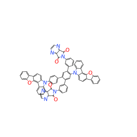 O=C1c2nccnc2C(=O)N1c1cccc(-c2cc(-n3c4ccccc4c4c5oc6ccccc6c5ccc43)c(-c3cccc(N4C(=O)c5nccnc5C4=O)c3)cc2-c2ccc(-n3c4ccccc4c4c5oc6ccccc6c5ccc43)cc2)c1